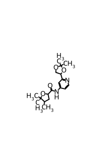 CC1CC(C(=O)Nc2ccnc(C3COC(C)(C)O3)c2)OC1(C)C